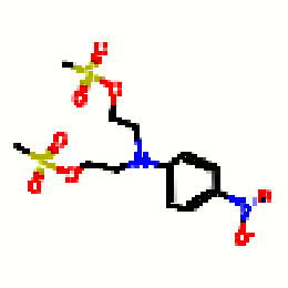 CS(=O)(=O)OCCN(CCOS(C)(=O)=O)c1ccc([N+](=O)[O-])cc1